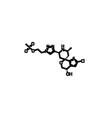 C[C@H]1C[C@@]2(C[C@@H](c3cn(CCOS(C)(=O)=O)nn3)N1)OC[C@@H](O)c1cc(Cl)sc12